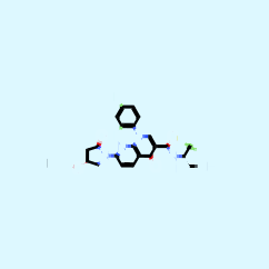 CC[C@@H](NC(=O)c1cn(-c2ccc(F)cc2F)c2nc(N3C[C@@H](OC)CC3=O)ccc2c1=O)C(F)(F)F